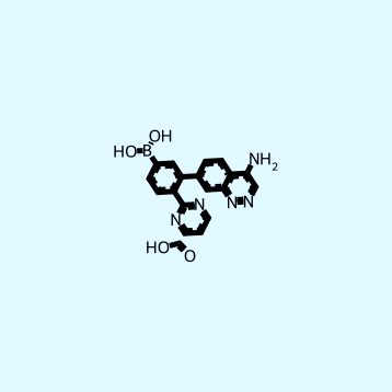 Nc1cnnc2cc(-c3cc(B(O)O)ccc3-c3ncccn3)ccc12.O=CO